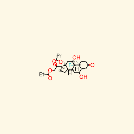 CCC(=O)OCC(=O)[C@]1(OC(=O)C(C)C)[C@@H](C)C[C@H]2[C@@H]3C=C(O)C4=CC(=O)C=C[C@]4(C)[C@@]3(F)[C@@H](O)C[C@@]21C